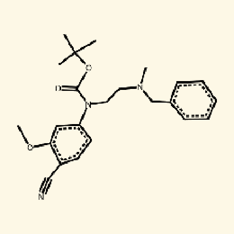 COc1cc(N(CCN(C)Cc2ccccc2)C(=O)OC(C)(C)C)ccc1C#N